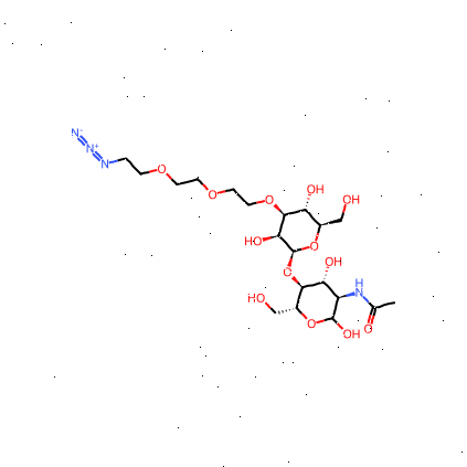 CC(=O)N[C@H]1C(O)O[C@H](CO)[C@@H](O[C@@H]2O[C@H](CO)[C@@H](O)[C@H](OCCOCCOCCN=[N+]=[N-])[C@@H]2O)[C@@H]1O